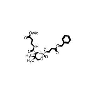 COC(=O)CCNC(=O)[C@@H]1OP(=O)(NCCC(=O)OCc2ccccc2)OCC1(C)C